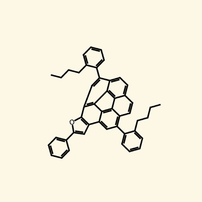 CCCCc1ccccc1-c1cc2c3cc(-c4ccccc4)oc3c3cc(-c4ccccc4CCCC)c4ccc5ccc1c1c5c4c3c21